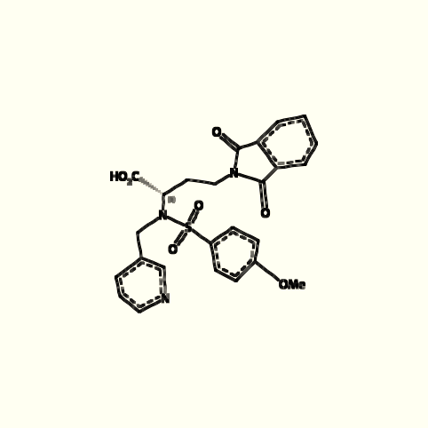 COc1ccc(S(=O)(=O)N(Cc2cccnc2)[C@@H](CCN2C(=O)c3ccccc3C2=O)C(=O)O)cc1